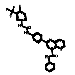 O=C(Nc1ccc(-c2cc(C(=O)Nc3ccccn3)c3ncccc3n2)cc1)Nc1ccc(F)c(C(F)(F)F)c1